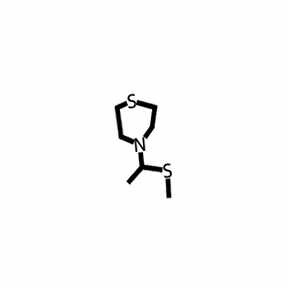 CSC(C)N1CCSCC1